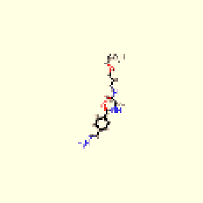 C[C@H](NC(=O)c1ccc(C=NN)cc1)C(=O)NCCCOCC(=O)O